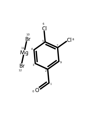 O=Cc1ccc(Cl)c(Cl)c1.[Br][Mg][Br]